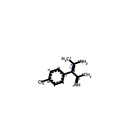 CC(=N)/C(=C(/C)N)c1ccc(Cl)cc1